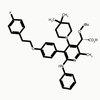 Cc1nc(Nc2ccccc2)c(-c2ccc(OCCc3ccc(F)cc3)cc2)c(N2CCC(C)(C)CC2)c1[C@H](OC(C)(C)C)C(=O)O